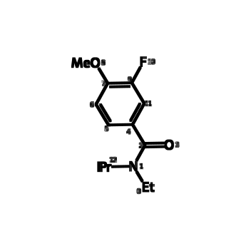 CCN(C(=O)c1ccc(OC)c(F)c1)C(C)C